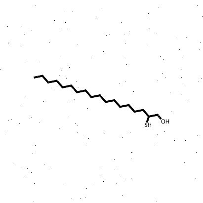 CCCCCCCCCCCCCCCCC(S)CO